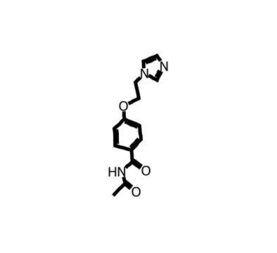 CC(=O)NC(=O)c1ccc(OCCn2ccnc2)cc1